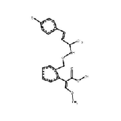 COC=C(C(=O)OC)c1ccccc1CONC(C)C=Cc1ccc(Cl)cc1